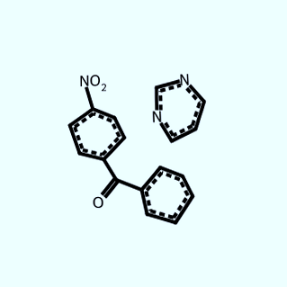 O=C(c1ccccc1)c1ccc([N+](=O)[O-])cc1.c1cncnc1